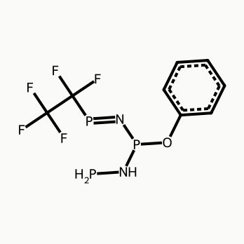 FC(F)(F)C(F)(F)P=NP(NP)Oc1ccccc1